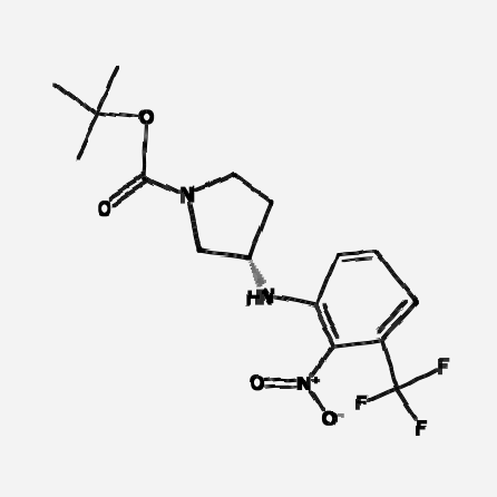 CC(C)(C)OC(=O)N1CC[C@H](Nc2cccc(C(F)(F)F)c2[N+](=O)[O-])C1